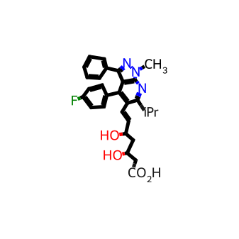 CC(C)c1nc2c(c(-c3ccccc3)nn2C)c(-c2ccc(F)cc2)c1/C=C/C(O)CC(O)CC(=O)O